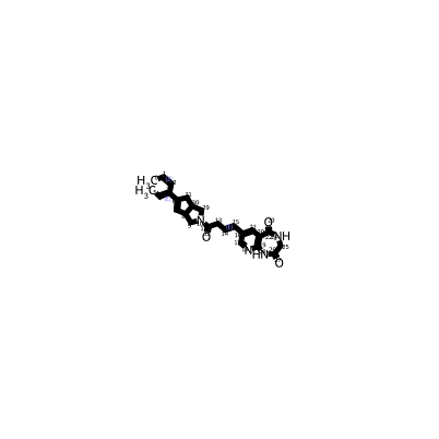 C/C=C\C(=C/C)C1=CC2CN(C(=O)C/C=C/c3cnc4c(c3)C(=O)NCC(=O)N4)CC2C1